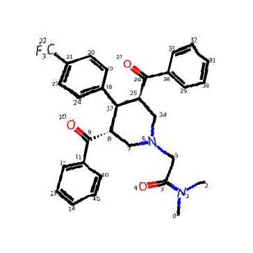 CN(C)C(=O)CN1C[C@H](C(=O)c2ccccc2)C(c2ccc(C(F)(F)F)cc2)[C@@H](C(=O)c2ccccc2)C1